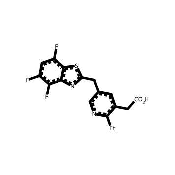 CCc1ncc(Cc2nc3c(F)c(F)cc(F)c3s2)cc1CC(=O)O